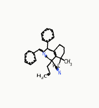 C=CCC(C#N)(C#N)C1=C(C(/C=C/c2ccccc2)c2ccccc2)CCCC1(C)C